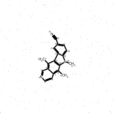 Cc1c2cnccc2c(C)c2c1c1cc(C#N)ccc1n2C